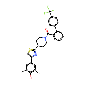 Cc1cc(-c2csc(C3CCN(C(=O)c4ccccc4-c4ccc(C(F)(F)F)cc4)CC3)n2)cc(C)c1O